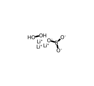 OO.[Li+].[Li+].[Li+].[O-]B([O-])[O-]